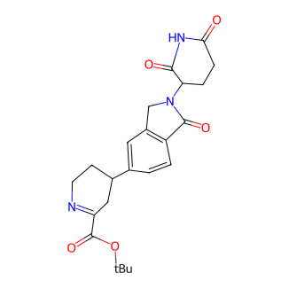 CC(C)(C)OC(=O)C1=NCCC(c2ccc3c(c2)CN(C2CCC(=O)NC2=O)C3=O)C1